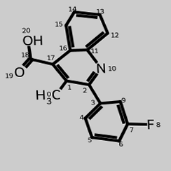 Cc1c(-c2cccc(F)c2)nc2ccccc2c1C(=O)O